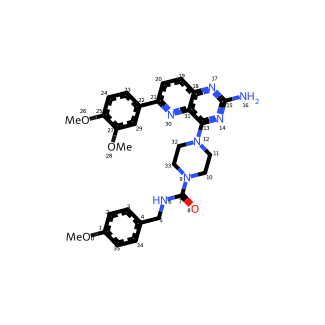 COc1ccc(CNC(=O)N2CCN(c3nc(N)nc4ccc(-c5ccc(OC)c(OC)c5)nc34)CC2)cc1